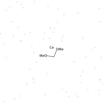 COCOC.[Ca]